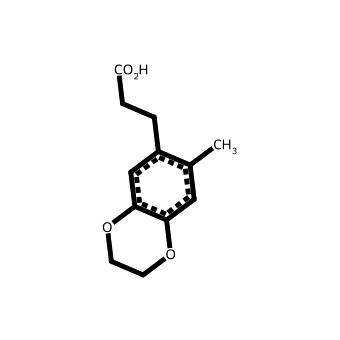 Cc1cc2c(cc1CCC(=O)O)OCCO2